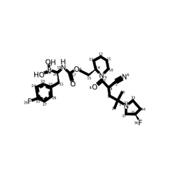 CC(C)(CC(C#N)C(=O)N1CCCC[C@@H]1COC(=O)N[C@@H](Cc1ccc(F)cc1)B(O)O)N1CC[C@@H](F)C1